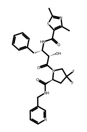 Cc1nc(C)c(C(=O)N[C@@H](Cc2ccccc2)[C@H](O)C(=O)N2CC(F)(F)C[C@H]2C(=O)NCc2cccnc2)s1